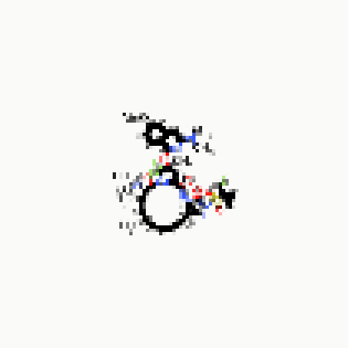 CCC(C)N(C(=O)O)[C@@H]1C(=O)N2[C@@H](C[C@@](C)(Oc3nc(N(C)C)cc4cc(OC)ccc34)C2(F)F)C(=O)N[C@]2(C(=O)NS(=O)(=O)C3(CF)CC3)C[C@H]2/C=C\CC[C@@H](C)C[C@H]1C